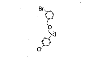 Clc1ccc(C2(COCc3cccc(Br)c3)CC2)cc1